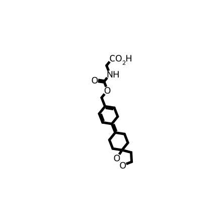 O=C(O)CNC(=O)OCC1=CCC(=C2CCC3(CCOO3)CC2)C=C1